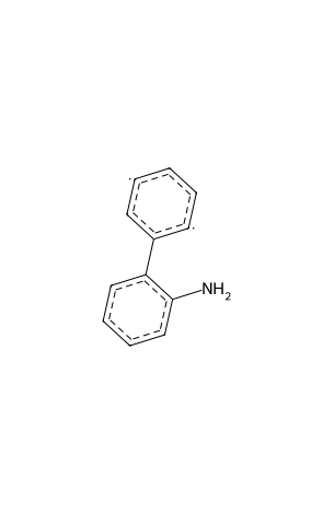 Nc1ccccc1-c1[c]cc[c]c1